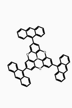 c1ccc2c(-c3cc4c5c(c3)Oc3cc(-c6c7ccccc7cc7ccccc67)cc6c3B5c3c(cc(-c5c7ccccc7cc7ccccc57)cc3O6)O4)c3ccccc3cc2c1